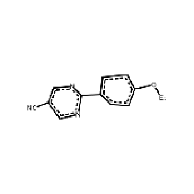 CCOc1ccc(-c2ncc(C#N)cn2)cc1